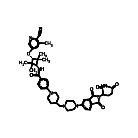 Cc1cc(O[C@H]2C(C)(C)[C@H](NC(=O)c3ccc(N4CCC(CN5CCN(c6ccc7c(c6)C(=O)N(C6CCC(=O)NC6=O)C7=O)CC5)CC4)cc3)C2(C)C)cnc1C#N